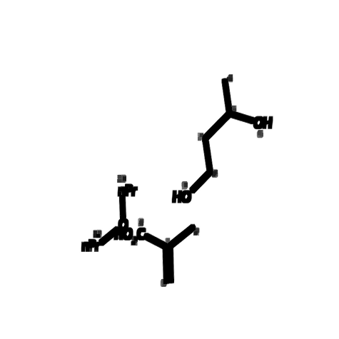 C=C(C)C(=O)O.CC(O)CCO.CCCOCCC